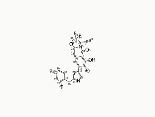 C#C[C@H]1N2C(=O)c3c(O)c(=O)c(-c4nnc(Cc5ccc(F)cc5F)s4)cn3CC2OCC1(F)F